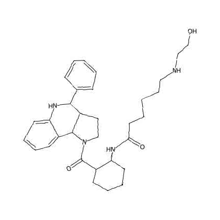 O=C(CCCCCNCCO)NC1CCCCC1C(=O)N1CCC2C(c3ccccc3)Nc3ccccc3C21